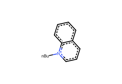 CCCC[n+]1cccc2ccccc21